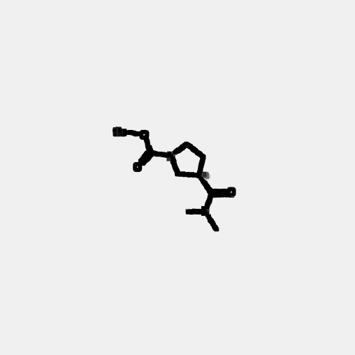 CN(C)C(=O)[C@@H]1CCN(C(=O)OC(C)(C)C)C1